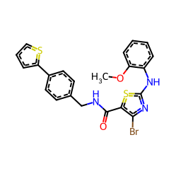 COc1ccccc1Nc1nc(Br)c(C(=O)NCc2ccc(-c3cccs3)cc2)s1